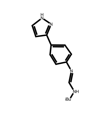 CCC(C)NC=Nc1ccc(-c2cc[nH]n2)cc1